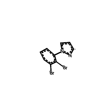 Brc1cccc(-n2cc[c]n2)c1Br